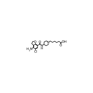 Nc1c(Cl)cc(C(=O)NC2CCN(CCCCCC(=O)O)CC2)c2c1CCO2